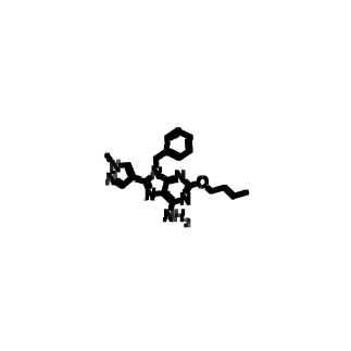 CCCCOc1nc(N)c2nc(-c3cnn(C)c3)n(Cc3ccccc3)c2n1